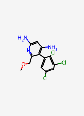 COCc1nc(N)cc(N)c1-c1cc(Cl)cc(Cl)c1Cl